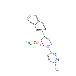 Cl.Clc1ccc(N2CC=C(c3ccc4ccccc4c3)CC2)nn1.O